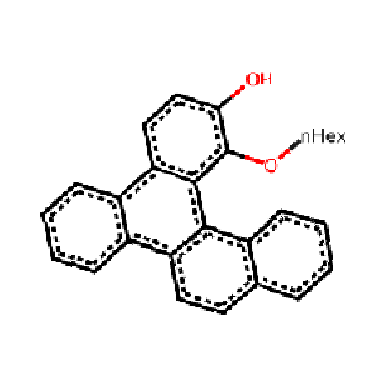 CCCCCCOc1c(O)ccc2c3ccccc3c3ccc4ccccc4c3c12